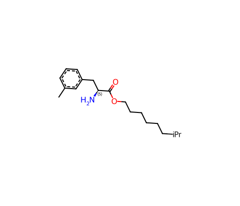 Cc1cccc(C[C@H](N)C(=O)OCCCCCCC(C)C)c1